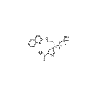 C[C@H](O[Si](C)(C)C(C)(C)C)[C@@H](CCOc1ccc2ccccc2n1)n1cnc(C(N)=O)c1